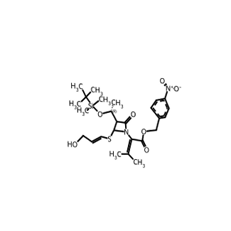 CC(C)=C(C(=O)OCc1ccc([N+](=O)[O-])cc1)N1C(=O)C([C@@H](C)O[Si](C)(C)C(C)(C)C)C1SC=CCO